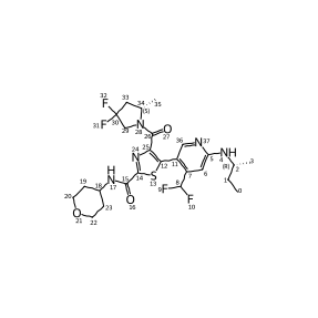 CC[C@@H](C)Nc1cc(C(F)F)c(-c2sc(C(=O)NC3CCOCC3)nc2C(=O)N2CC(F)(F)C[C@@H]2C)cn1